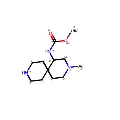 CC(=O)N1CCC2(CCNCC2)C(NC(=O)OC(C)(C)C)C1